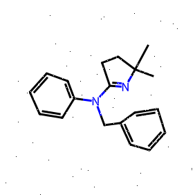 CC1(C)CCC(N(Cc2ccccc2)c2ccccc2)=N1